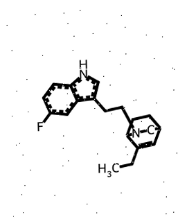 CCC1=CC2CCC1N(CCc1c[nH]c3ccc(F)cc13)C2